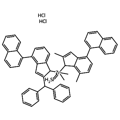 CC1=Cc2c(-c3cccc4ccccc34)ccc(C)c2[CH]1[Zr]([CH3])([CH3])(=[SiH2])[CH]1C(C(c2ccccc2)c2ccccc2)=Cc2c(-c3cccc4ccccc34)cccc21.Cl.Cl